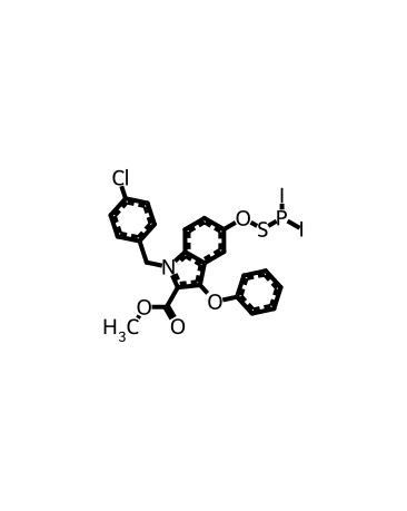 COC(=O)c1c(Oc2ccccc2)c2cc(OSP(I)I)ccc2n1Cc1ccc(Cl)cc1